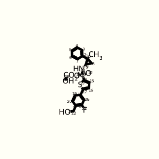 C[C@]1(c2ccccc2)C[C@@H]1NS(=O)(=O)c1ccc(-c2ccc(CO)c(F)c2)s1.O=C(O)O